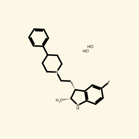 C[C@H]1Nc2ccc(F)cc2[C@H]1CCN1CCC(c2ccccc2)CC1.Cl.Cl